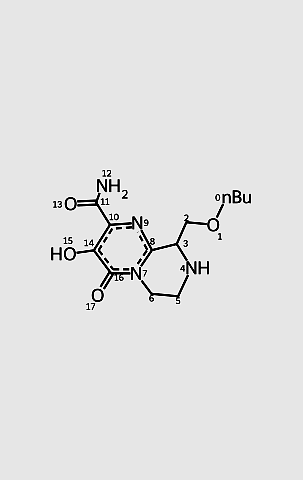 CCCCOCC1NCCn2c1nc(C(N)=O)c(O)c2=O